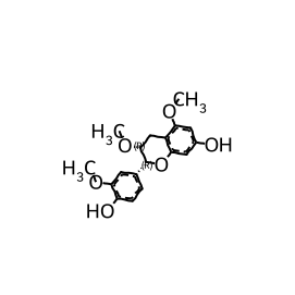 COc1cc([C@H]2Oc3cc(O)cc(OC)c3C[C@H]2OC)ccc1O